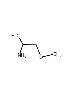 [CH2]OCC(C)N